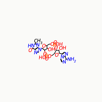 Cc1nc2c(ncn2C2OC3COP(=O)(O)OC4C(COP(=O)(O)OC2C3O)OC(c2cnc3c(N)nccn23)C4O)c(=O)[nH]1